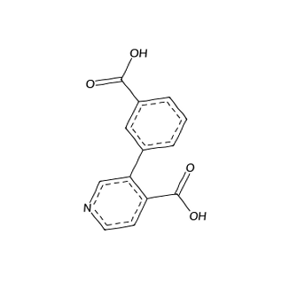 O=C(O)c1cccc(-c2cnccc2C(=O)O)c1